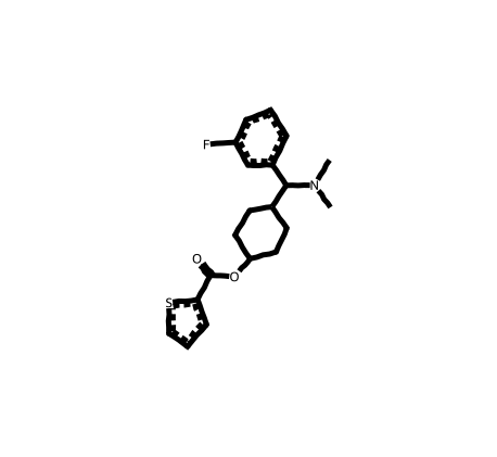 CN(C)C(c1cccc(F)c1)C1CCC(OC(=O)c2cccs2)CC1